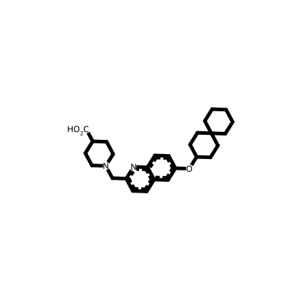 O=C(O)C1CCN(Cc2ccc3cc(OC4CCC5(CCCCC5)CC4)ccc3n2)CC1